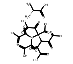 C[C@H](N)C(=O)O.O=C(O)C(=O)C(C(=O)C(=O)O)[C@](C(=O)O)(C(=O)C(=O)O)N(C(=O)C(=O)O)C(=O)C(=O)O